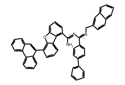 N/C(=N\C(=N/Cc1ccc2ccccc2c1)c1ccc(-c2ccccc2)cc1)c1cccc2oc3c(-c4cc5ccccc5c5ccccc45)cccc3c12